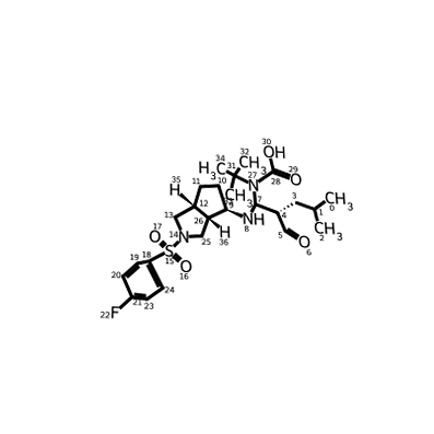 CC(C)C[C@H](C=O)C(N[C@@H]1CC[C@H]2CN(S(=O)(=O)c3ccc(F)cc3)C[C@H]21)N(C(=O)O)C(C)(C)C